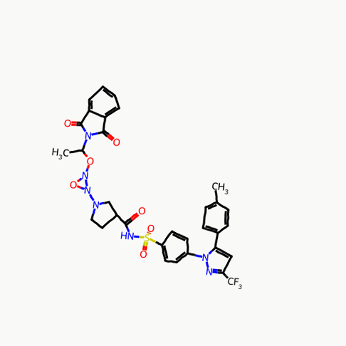 Cc1ccc(-c2cc(C(F)(F)F)nn2-c2ccc(S(=O)(=O)NC(=O)C3CCN(n4on4OC(C)N4C(=O)c5ccccc5C4=O)C3)cc2)cc1